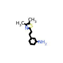 Cc1nc(/C=C/c2cccc(N)c2)sc1C